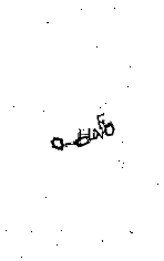 Fc1ccccc1NCc1ccc(-c2ccccc2)cc1